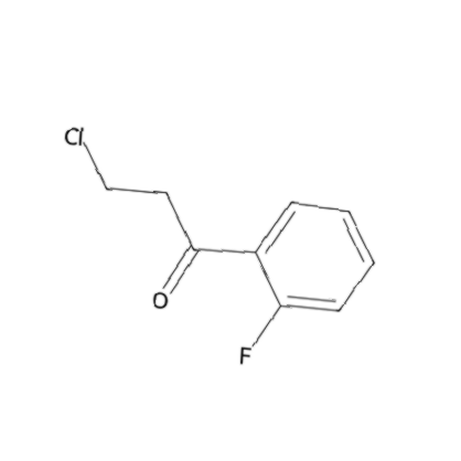 O=C(CCCl)c1ccccc1F